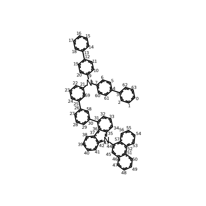 c1ccc(-c2ccc(N(c3ccc(-c4ccccc4)cc3)c3cccc(-c4cccc(-c5cccc6c5c5ccccc5n6-c5cc6ccccc6c6ccccc56)c4)c3)cc2)cc1